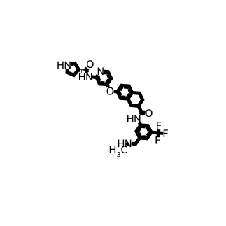 CNCc1cc(NC(=O)C2CCc3ccc(Oc4ccnc(NC(=O)[C@@H]5CCNC5)c4)cc3C2)cc(C(F)(F)F)c1